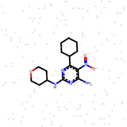 Nc1nc(NC2CCOCC2)nc(C2CCCCC2)c1[N+](=O)[O-]